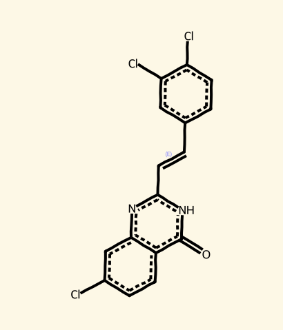 O=c1[nH]c(/C=C/c2ccc(Cl)c(Cl)c2)nc2cc(Cl)ccc12